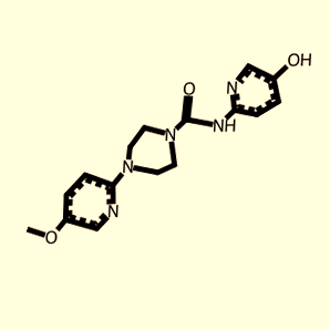 COc1ccc(N2CCN(C(=O)Nc3ccc(O)cn3)CC2)nc1